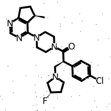 C[C@@H]1CCc2ncnc(N3CCN(C(=O)[C@H](CN4CC[C@H](F)C4)c4ccc(Cl)cc4)CC3)c21